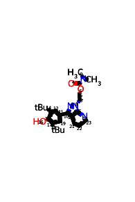 CN(C)C(=O)OCCn1nc(-c2cc(C(C)(C)C)c(O)c(C(C)(C)C)c2)c2cccnc21